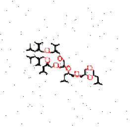 CC(C)CC(COCC(COCC(COCC(CC(C)C)C(C)C)C(C)C)OC(COCC1COCC(CC(C)C)O1)CC(C)C)OCC(CC(C)C)C(C)C